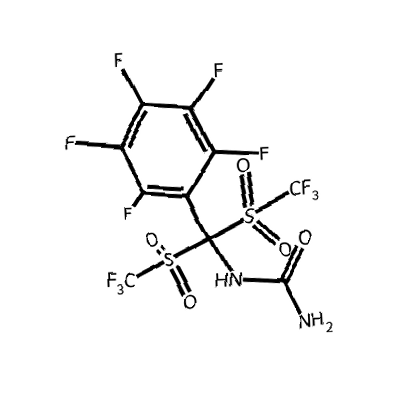 NC(=O)NC(c1c(F)c(F)c(F)c(F)c1F)(S(=O)(=O)C(F)(F)F)S(=O)(=O)C(F)(F)F